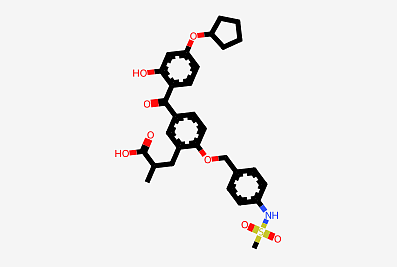 CC(Cc1cc(C(=O)c2ccc(OC3CCCC3)cc2O)ccc1OCc1ccc(NS(C)(=O)=O)cc1)C(=O)O